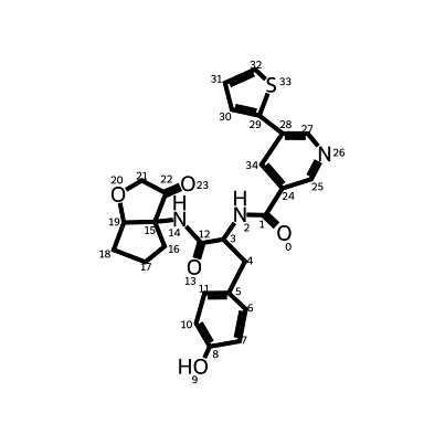 O=C(NC(Cc1ccc(O)cc1)C(=O)NC12CCCC1OCC2=O)c1cncc(-c2cccs2)c1